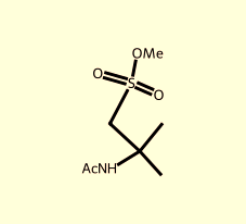 COS(=O)(=O)CC(C)(C)NC(C)=O